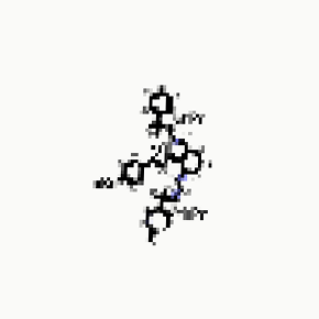 C=C/C=C\C1=C(C)N(CCC)/C(=C/C=C2\CCCC(/C=C/C3=[N+](CCC)c4ccccc4C3(C)C)=C2n2cc(-c3ccc(CCCC)cc3)nn2)C1(C)C